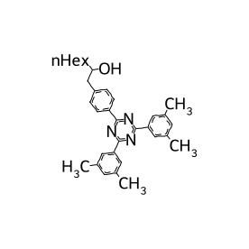 CCCCCCC(O)Cc1ccc(-c2nc(-c3cc(C)cc(C)c3)nc(-c3cc(C)cc(C)c3)n2)cc1